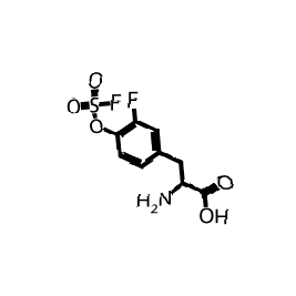 NC(Cc1ccc(OS(=O)(=O)F)c(F)c1)C(=O)O